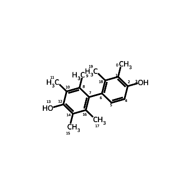 Cc1c(O)ccc(-c2c(C)c(C)c(O)c(C)c2C)c1C